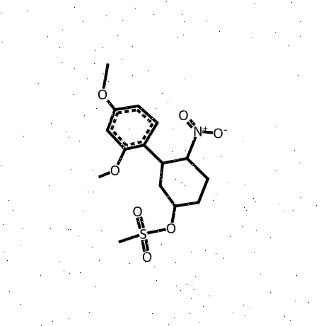 COc1ccc(C2CC(OS(C)(=O)=O)CCC2[N+](=O)[O-])c(OC)c1